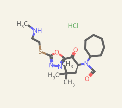 CNCCSc1nnc(C(=O)[C@H](CC(C)(C)C)N(C=O)C2CCCCCC2)o1.Cl